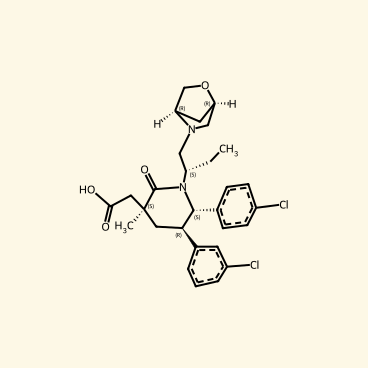 CC[C@@H](CN1C[C@H]2C[C@@H]1CO2)N1C(=O)[C@](C)(CC(=O)O)C[C@H](c2cccc(Cl)c2)[C@H]1c1ccc(Cl)cc1